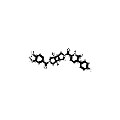 O=C(c1ccc2[nH]nnc2c1)N1C[C@@H]2C3CN(C(=O)c4ccc(-c5ccc(Cl)cc5)c(=O)[nH]4)CC3[C@@H]2C1